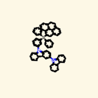 c1ccc([Si](c2ccccc2)(c2cccc(-n3c4ccccc4c4cc(-n5c6ccccc6c6ccccc65)ccc43)c2)c2cc3cccc4ccc5cccc2c5c43)cc1